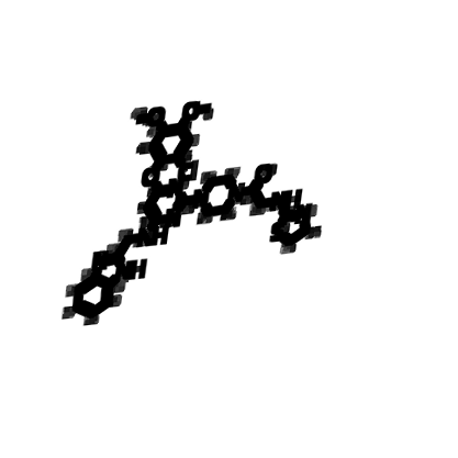 COc1cc(Cl)c(Oc2cc(NCc3nc4ccccc4[nH]3)nc(N3CCN(C(=O)CNC4=NCCS4)CC3)n2)cc1OC